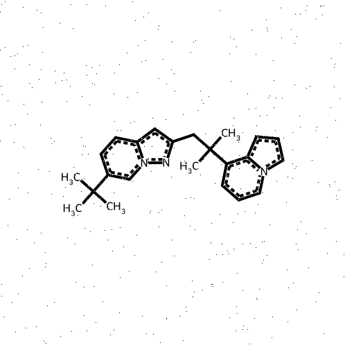 CC(C)(C)c1ccc2cc(CC(C)(C)c3cccn4cccc34)nn2c1